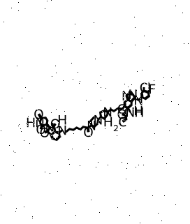 C=CC(=O)Nc1cc2c(Nc3ccc(F)c(Cl)c3)ncnc2cc1OCCCN1CCC(N2CCN(C(=O)CCCCCCNc3cccc4c3C(=O)N(C3CCC(=O)NC3=O)C4=O)CC2)CC1